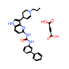 CCCN1C=CC(c2c[nH]c3ccc(NC(=O)Nc4cccc(-c5ccccc5)c4)nc23)CC1.O=C(O)C#CC(=O)O